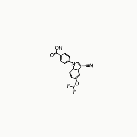 N#CC1=CN(c2ccc(C(=O)O)cc2)C2C=CC(OC(F)F)=CC12